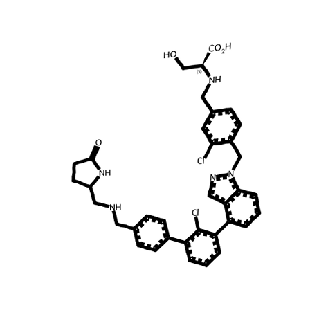 O=C1CCC(CNCc2ccc(-c3cccc(-c4cccc5c4cnn5Cc4ccc(CN[C@@H](CO)C(=O)O)cc4Cl)c3Cl)cc2)N1